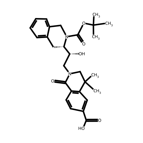 CC(C)(C)OC(=O)N1Cc2ccccc2C[C@H]1[C@H](O)CN1CC(C)(C)c2cc(C(=O)O)ccc2C1=O